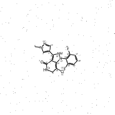 Cn1cc(C2=C3C(=O)NCC(Cl)=C3N(c3c(F)cccc3F)N2)cn1